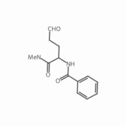 CNC(=O)C(CCC=O)NC(=O)c1ccccc1